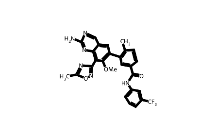 COc1c(-c2cc(C(=O)Nc3cccc(C(F)(F)F)c3)ccc2C)cc2cnc(N)nc2c1-c1noc(C)n1